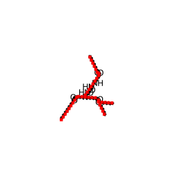 CCCCCCCCCCCCCCOC(=O)C(C)(C)CCCCN(CCCCCCC(C)(C)C(=O)OC(CCCCCCCC)CCCCCCCC)CCNC(=O)CC(=O)NCCNCCCCC(C)(C)C(=O)OCCCCCCCCCCC